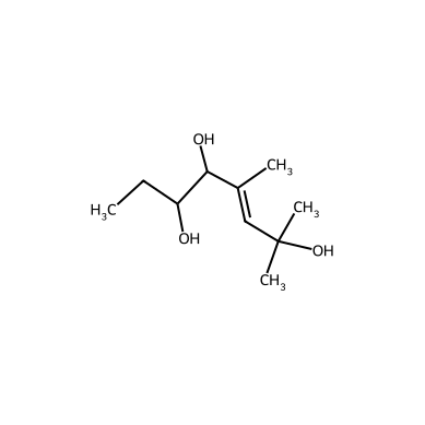 CCC(O)C(O)C(C)=CC(C)(C)O